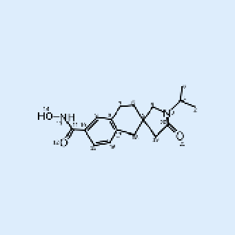 CC(C)N1CC2(CCc3cc(C(=O)NO)ccc3C2)CC1=O